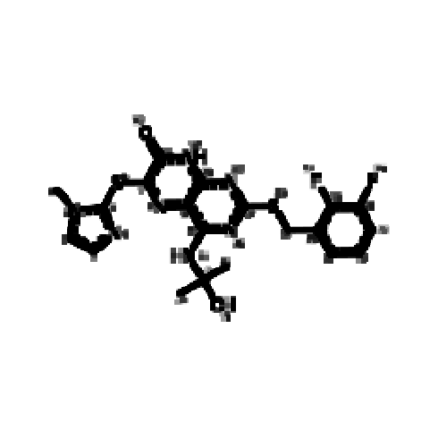 Cn1ccnc1Sc1nc2c(NC(C)(C)O)nc(SCc3cccc(F)c3F)nc2[nH]c1=O